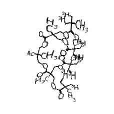 [3H]CC(C)(C[3H])C(=O)OCC(C)(COC(=O)C(C)(C[3H])C[3H])C(=O)OCC(C)(COC(=O)C(C)(COC(=O)C(C)(C[3H])C[3H])COC(=O)C(C)(C[3H])C[3H])C(C)=O